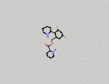 C[n+]1ccccc1C(=O)OCc1cc(F)cc(F)c1-c1cccc[n+]1C